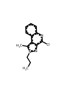 CCCn1nc2c(Cl)nc3ccccc3c2c1C